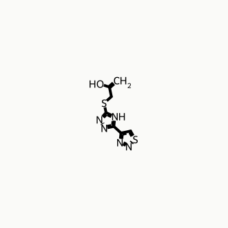 C=C(O)CSc1nnc(-c2csnn2)[nH]1